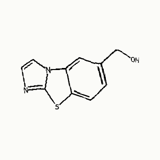 OCc1ccc2sc3nccn3c2c1